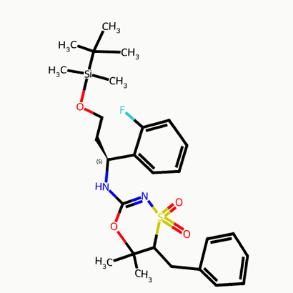 CC1(C)OC(N[C@@H](CCO[Si](C)(C)C(C)(C)C)c2ccccc2F)=NS(=O)(=O)C1Cc1ccccc1